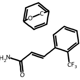 NC(=O)C=Cc1ccccc1C(F)(F)F.c1cc2ccc1CO2